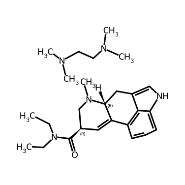 CCN(CC)C(=O)[C@@H]1C=C2c3cccc4[nH]cc(c34)C[C@H]2N(C)C1.CN(C)CCN(C)C